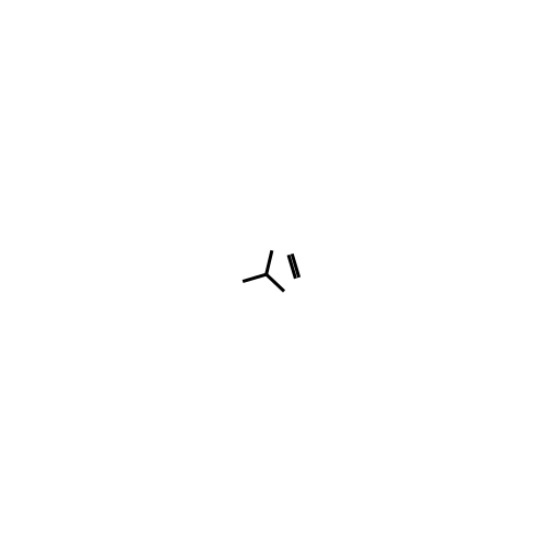 C=C.CC(C)C